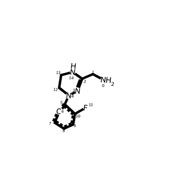 NCC1=NN(c2ccccc2F)CCN1